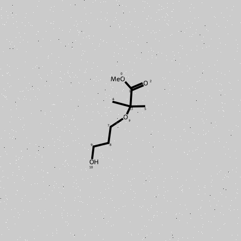 COC(=O)C(C)(C)OCCCO